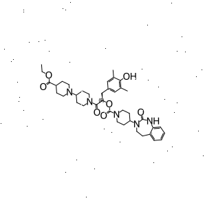 CCOC(=O)C1CCN(C2CCN(C(=O)[C@@H](Cc3cc(C)c(O)c(C)c3)OC(=O)N3CCC(N4CCc5ccccc5NC4=O)CC3)CC2)CC1